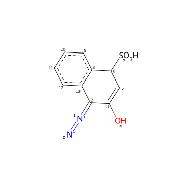 [N-]=[N+]=C1C(O)=CC(S(=O)(=O)O)c2ccccc21